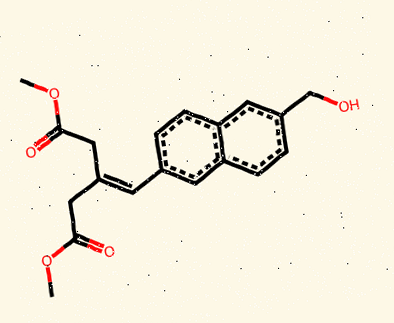 COC(=O)CC(=Cc1ccc2cc(CO)ccc2c1)CC(=O)OC